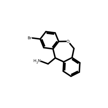 NCC1c2ccccc2COc2ccc(Br)cc21